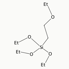 CCOCC[Si](OCC)(OCC)OCC